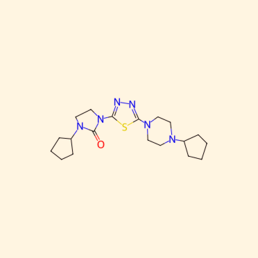 O=C1N(c2nnc(N3CCN(C4CCCC4)CC3)s2)CCN1C1CCCC1